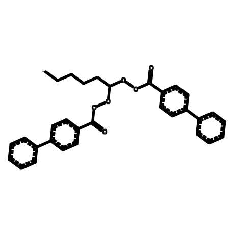 [CH2]CCCC[C](OOC(=O)c1ccc(-c2ccccc2)cc1)OOC(=O)c1ccc(-c2ccccc2)cc1